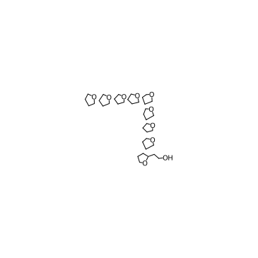 C1CCOC1.C1CCOC1.C1CCOC1.C1CCOC1.C1CCOC1.C1CCOC1.C1CCOC1.C1CCOC1.OCCC1CCCO1